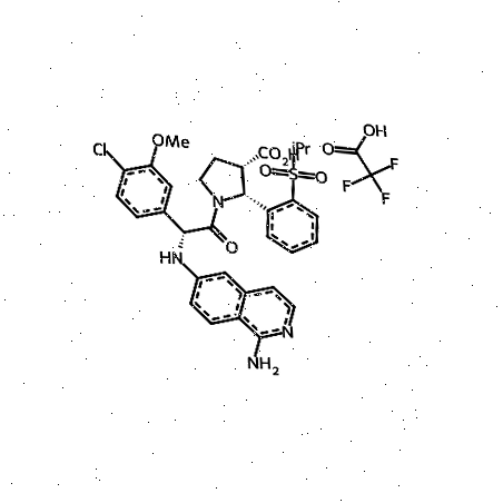 COc1cc([C@@H](Nc2ccc3c(N)nccc3c2)C(=O)N2CC[C@H](C(=O)O)[C@@H]2c2ccccc2S(=O)(=O)C(C)C)ccc1Cl.O=C(O)C(F)(F)F